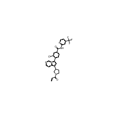 C=CC(=O)N1CCC(c2cc(-c3ccc(C(=O)Nc4cc(C(F)(F)F)ccn4)cc3Cl)n3cnccc23)C1